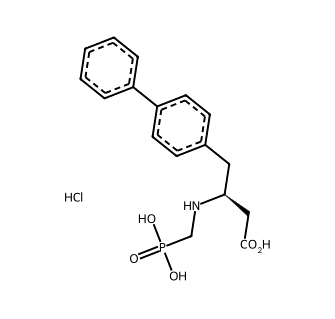 Cl.O=C(O)C[C@H](Cc1ccc(-c2ccccc2)cc1)NCP(=O)(O)O